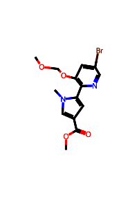 COCOc1cc(Br)cnc1-c1cc(C(=O)OC)cn1C